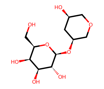 OC[C@H]1O[C@@H](O[C@@H]2COC[C@H](O)C2)[C@H](O)[C@@H](O)[C@H]1O